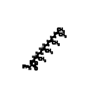 CC(C)=CCC/C(C)=C/CC/C(C)=C/CC/C(C)=C/C1=N[C@@H](CC(C)C)C(=O)O1